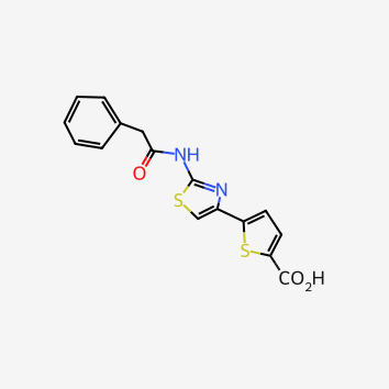 O=C(Cc1ccccc1)Nc1nc(-c2ccc(C(=O)O)s2)cs1